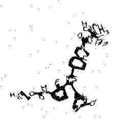 C=CCOC(=O)Nc1cccc(-c2nc(C3CCC4(CC3)CCN(C(=O)OC(C)(C)C)CC4)sc2-c2ccnc(Cl)n2)c1F